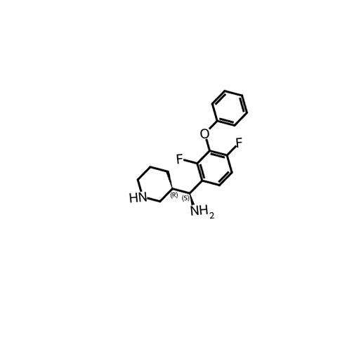 N[C@H](c1ccc(F)c(Oc2ccccc2)c1F)[C@@H]1CCCNC1